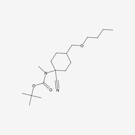 CCCCOCC1CCC(C#N)(N(C)C(=O)OC(C)(C)C)CC1